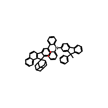 CC1(c2ccccc2)c2ccccc2-c2ccc(N(c3ccccc3)c3ccccc3-c3ccc4c(c3)-c3ccc5ccccc5c3C43C4CC5CC(C4)CC3C5)cc21